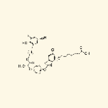 CCCCCCCC(=O)O.CCOC(=O)[C@@H](C)Oc1ccc(Oc2nc3ccc(Cl)cc3o2)cc1.N#Cc1cc(I)c(O)c(I)c1